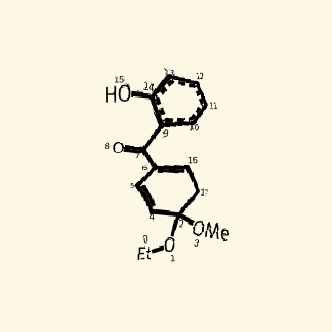 CCOC1(OC)C=CC(C(=O)c2ccccc2O)=CC1